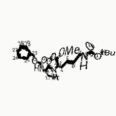 COC(=O)[C@@H](CCCCNC(=O)OC(C)(C)C)NC(=O)[C@@H](CC(C)C)NC(=O)OCc1ccccc1